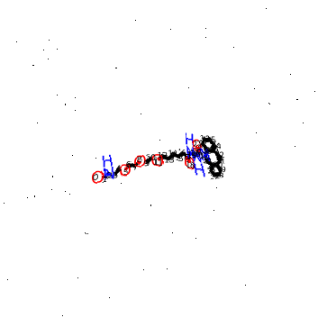 O=CNCCOCCOCCOCCCCCC(=O)NNC(=O)N1Cc2ccccc2C#Cc2ccccc21